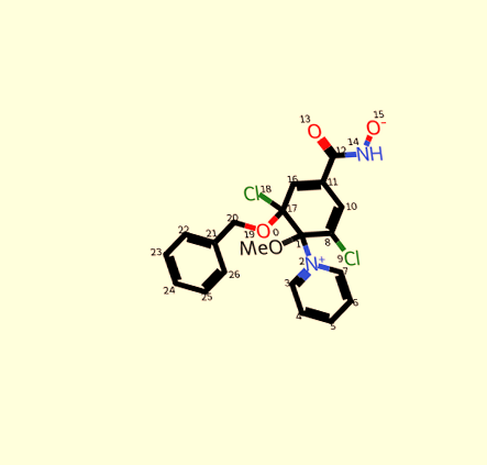 COC1([n+]2ccccc2)C(Cl)=CC(C(=O)N[O-])=CC1(Cl)OCc1ccccc1